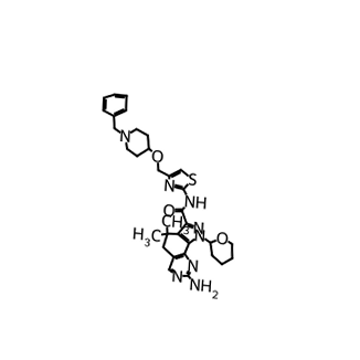 CC1(C)Cc2cnc(N)nc2-c2c1c(C(=O)Nc1nc(COC3CCN(Cc4ccccc4)CC3)cs1)nn2C1CCCCO1